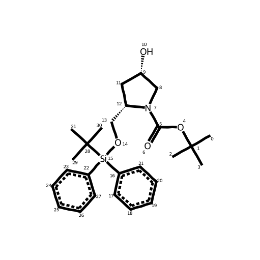 CC(C)(C)OC(=O)N1C[C@@H](O)C[C@H]1CO[Si](c1ccccc1)(c1ccccc1)C(C)(C)C